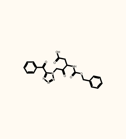 O=C(O)CC(NC(=O)OCc1ccccc1)C(=O)Cn1nnnc1C(=O)c1ccccc1